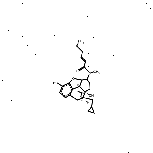 CCCC=CC(=O)N(C)C1CC[C@@]2(O)[C@H]3Cc4ccc(O)c5c4[C@@]2(CCN3CC2CC2)C1O5